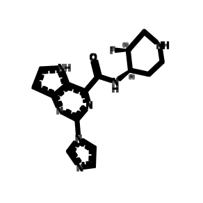 O=C(N[C@@H]1CCNC[C@@H]1F)c1nc(-n2ccnc2)nc2cc[nH]c12